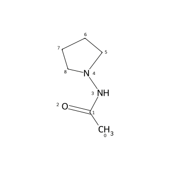 CC(=O)NN1CCCC1